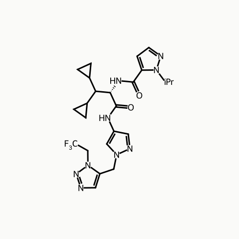 CC(C)n1nccc1C(=O)N[C@H](C(=O)Nc1cnn(Cc2cnnn2CC(F)(F)F)c1)C(C1CC1)C1CC1